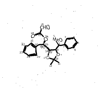 COC(c1ccccc1)C1OC(C)(C)O[C@H]1[C@H](OC(=O)C=O)c1ccccc1